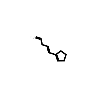 C=CCC=CC1=CCCC1